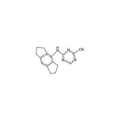 N#Cc1ncnc(Nc2c3c(cc4c2CCC4)CCC3)n1